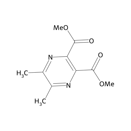 COC(=O)c1nc(C)c(C)nc1C(=O)OC